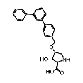 O=C(O)[C@@H]1NC[C@H](OCc2ccc(-c3cccc(-c4ccccc4)c3)cc2)[C@H]1O